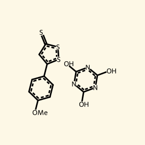 COc1ccc(-c2cc(=S)ss2)cc1.Oc1nc(O)nc(O)n1